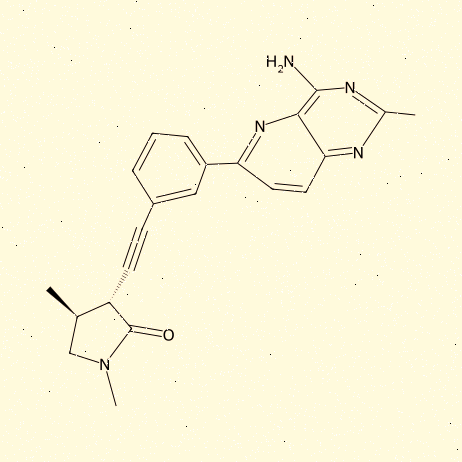 Cc1nc(N)c2nc(-c3cccc(C#C[C@@H]4C(=O)N(C)C[C@H]4C)c3)ccc2n1